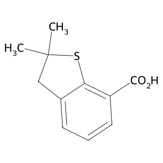 CC1(C)Cc2cccc(C(=O)O)c2S1